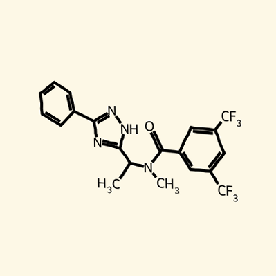 CC(c1nc(-c2ccccc2)n[nH]1)N(C)C(=O)c1cc(C(F)(F)F)cc(C(F)(F)F)c1